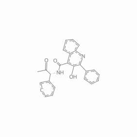 CC(=O)[C@H](NC(=O)c1c(O)c(-c2ccccc2)nc2ccccc12)c1ccccc1